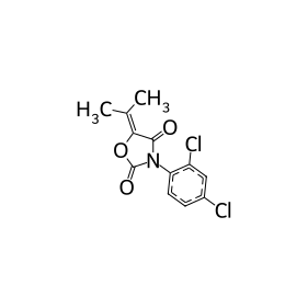 CC(C)=C1OC(=O)N(c2ccc(Cl)cc2Cl)C1=O